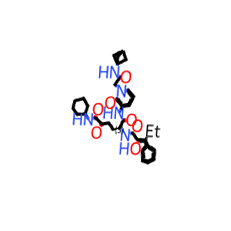 CCc1c(C(=O)N[C@@H](CCC(=O)C(=O)NC2CCCCC2)C(=O)Nc2cccn(CC(=O)NC34CC(C3)C4)c2=O)oc2ccccc12